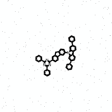 c1ccc(-c2ccc3c4ccc(-c5ccccc5)cc4n(-c4ccc5c(c4)-c4ccc(-c6nc(-c7ccccc7)nc(-c7ccccc7)n6)cc4C5)c3c2)cc1